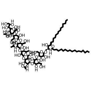 CCCCCCCCCCCCC/C=C/[C@@H](O)[C@H](CO[C@@H]1OC(CO)[C@@H](O[C@@H]2OC(CO)[C@H](O)[C@H](O[C@@H]3OC(CO)[C@@H](O[C@@H]4OC(CO)[C@H](O)[C@H](O[C@@H]5OC(CO)[C@@H](O[C@@H]6OC(CO)[C@H](O)[C@H](O[C@]7(C(=O)O)CC(O)[C@@H](NC(C)=O)C([C@H](O)[C@H](O)CO)O7)C6O)[C@H](O)C5NC(C)=O)C4O)[C@H](O)C3NC(C)=O)C2O)[C@H](O)C1O)NC(=O)CCCCCCCCCCCCCCCCC